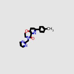 Cc1ccc(-c2ccc3c(n2)C(=O)N(Cc2ncccn2)CCO3)cc1